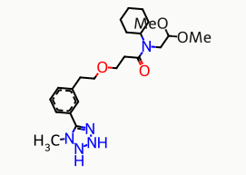 COC(CN(C(=O)CCOCCc1cccc(C2=NNNN2C)c1)C1CCCCC1)OC